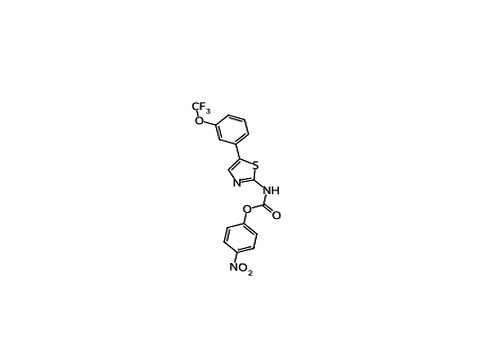 O=C(Nc1ncc(-c2cccc(OC(F)(F)F)c2)s1)Oc1ccc([N+](=O)[O-])cc1